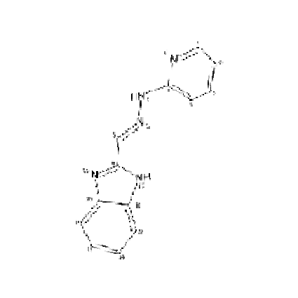 C(=NNc1ccccn1)c1nc2ccccc2[nH]1